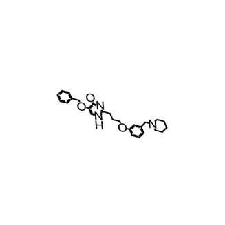 O=c1nc(CCCOc2cccc(CN3CCCCC3)c2)[nH]cc1OCc1ccccc1